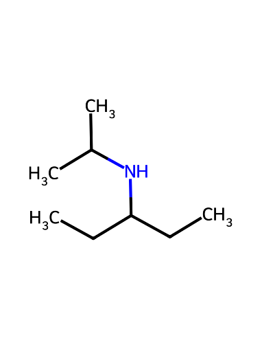 CCC(CC)NC(C)C